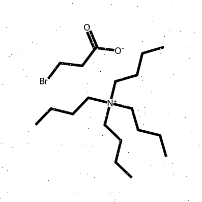 CCCC[N+](CCCC)(CCCC)CCCC.O=C([O-])CCBr